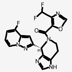 O=C(c1ocnc1C(F)F)N1CCc2[nH]cnc2[C@@H]1c1cc2c(F)cccn2n1